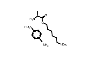 CCCCCCCCCCCCCCCCOC(=O)[C@H](C)N.Cc1ccc(S(=O)(=O)O)cc1.N